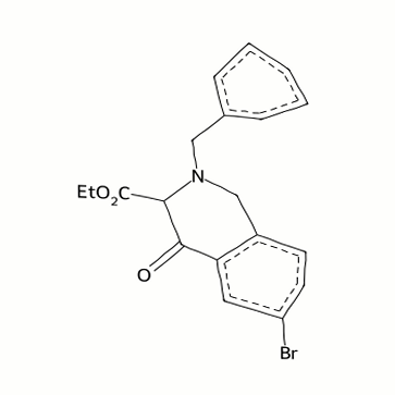 CCOC(=O)C1C(=O)c2cc(Br)ccc2CN1Cc1ccccc1